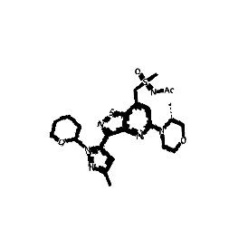 CC(=O)N=S(C)(=O)Cc1cc(N2CCOC[C@H]2C)nc2c(-c3cc(C)nn3C3CCCCO3)nsc12